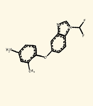 Cc1cc(N)ccc1Oc1ccc2c(c1)ncn2C(F)F